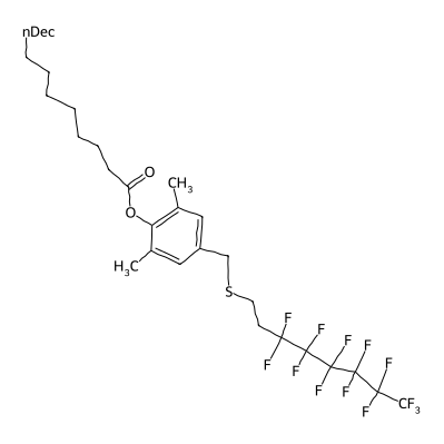 CCCCCCCCCCCCCCCCCC(=O)Oc1c(C)cc(CSCCC(F)(F)C(F)(F)C(F)(F)C(F)(F)C(F)(F)C(F)(F)F)cc1C